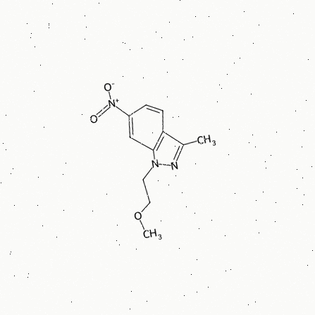 COCCn1nc(C)c2ccc([N+](=O)[O-])cc21